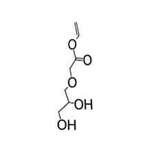 C=COC(=O)COCC(O)CO